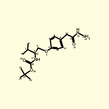 CC(C)[C@@H](COc1ccc(CC(=O)NN)cc1)NC(=O)OC(C)(C)C